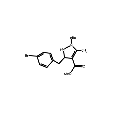 CCCCN1NC(Cc2ccc(Br)cc2)C(C(=O)OC)=C1C